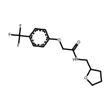 O=C(COc1ccc(C(F)(F)F)cc1)NCC1CCCO1